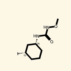 CONC(=O)N[C@@H]1CCC[C@H](I)C1